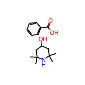 CC1(C)CC(O)CC(C)(C)N1.O=C(O)c1ccccc1